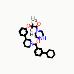 CC(C)(Oc1cccc(C2CCCN(C(=O)c3cccc(C4CCCCC4)c3)C2)c1)C(=O)N1CCNCC1